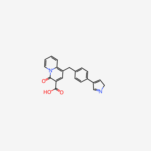 O=C(O)c1cc(Cc2ccc(C3=CCN=C3)cc2)c2ccccn2c1=O